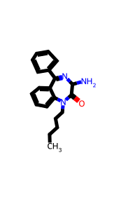 CCCCCN1C(=O)C(N)N=C(c2ccccc2)c2ccccc21